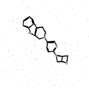 c1ccc2c3c([nH]c2c1)CN(c1ccc(N2CC4OCC42)nc1)CC3